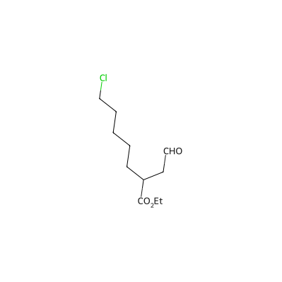 CCOC(=O)C(CC=O)CCCCCCl